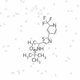 CC(N[S@@+]([O-])C(C)(C)C)c1cnc(-c2ccnc(C(F)(F)F)c2)s1